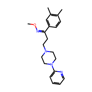 CON=C(CCN1CCN(c2ccccn2)CC1)c1ccc(C)c(C)c1